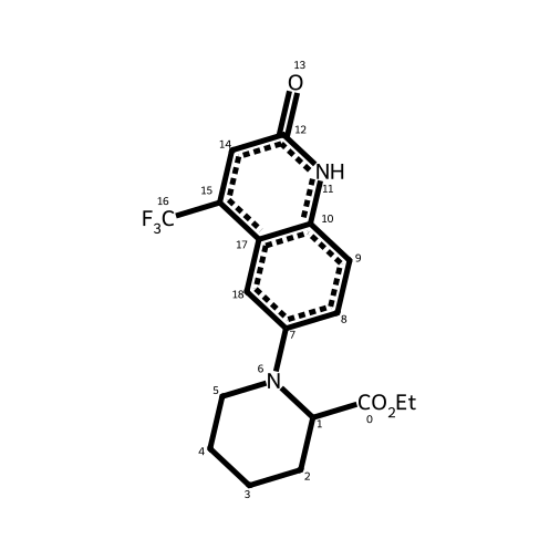 CCOC(=O)C1CCCCN1c1ccc2[nH]c(=O)cc(C(F)(F)F)c2c1